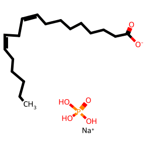 CCCCC/C=C\C/C=C\CCCCCCCC(=O)[O-].O=P(O)(O)O.[Na+]